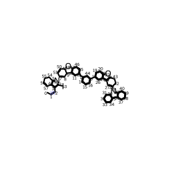 C/C=C\c1c2c(n(C3=CC4c5cc(-c6cccc(-c7ccc8oc9c(c8c7)C=C(n7c8ccccc8c8ccccc87)CC9)c6)ccc5OC4C=C3)c1I)CCC=C2